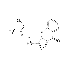 CC(=CCNc1ncc(C(=O)c2ccccc2F)s1)CCl